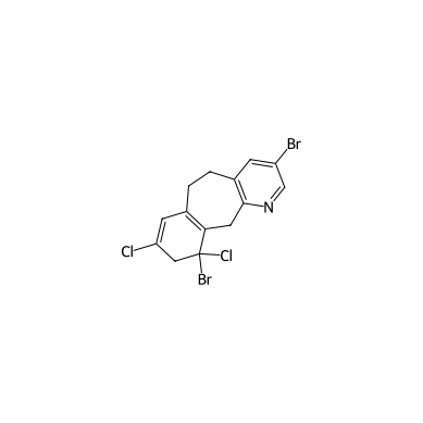 ClC1=CC2=C(Cc3ncc(Br)cc3CC2)C(Cl)(Br)C1